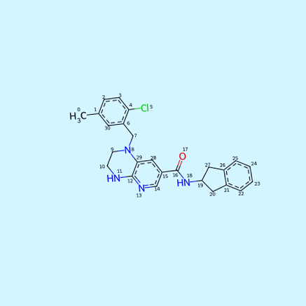 Cc1ccc(Cl)c(CN2CCNc3ncc(C(=O)NC4Cc5ccccc5C4)cc32)c1